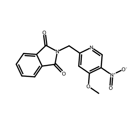 COc1cc(CN2C(=O)c3ccccc3C2=O)ncc1[N+](=O)[O-]